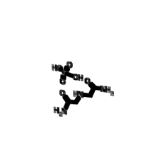 NC(=O)CNCC(N)=O.O=S(=O)(O)O